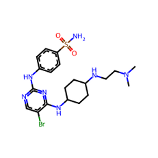 CN(C)CCNC1CCC(Nc2nc(Nc3ccc(S(N)(=O)=O)cc3)ncc2Br)CC1